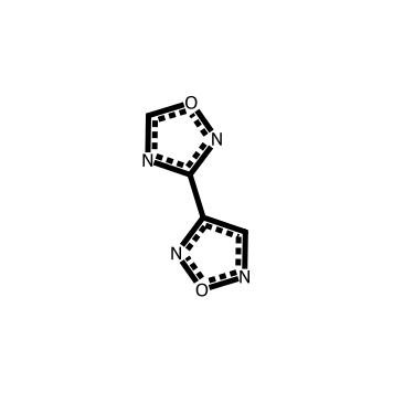 c1nc(-c2cnon2)no1